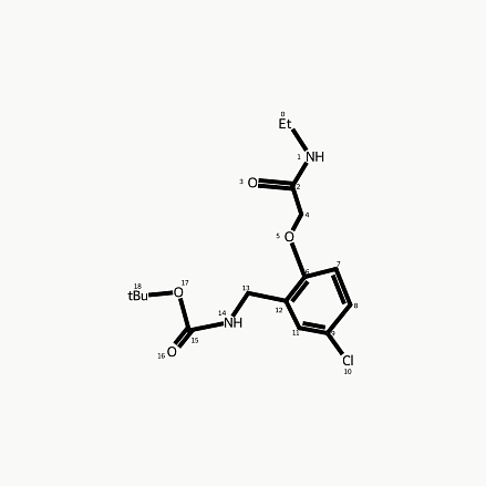 CCNC(=O)COc1ccc(Cl)cc1CNC(=O)OC(C)(C)C